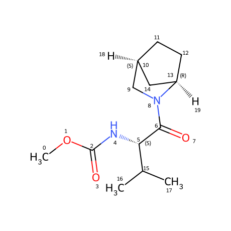 COC(=O)N[C@H](C(=O)N1C[C@H]2CC[C@@H]1C2)C(C)C